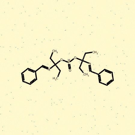 CCC(CC)(N=Cc1ccccc1)O[PH](=O)OC(CC)(CC)N=Cc1ccccc1